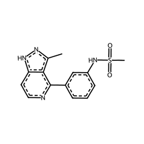 Cc1n[nH]c2ccnc(-c3cccc(NS(C)(=O)=O)c3)c12